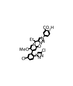 CCC(c1cn(-c2cccc(C(=O)O)c2)nn1)n1cc(OC)c(-c2cc(Cl)ccc2-n2cc(Cl)nn2)cc1=O